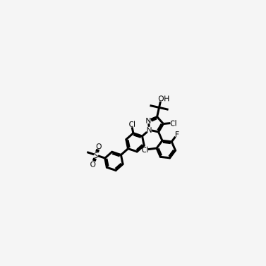 CC(C)(O)c1nn(-c2ccc(-c3cccc(S(C)(=O)=O)c3)cc2Cl)c(-c2c(F)cccc2Cl)c1Cl